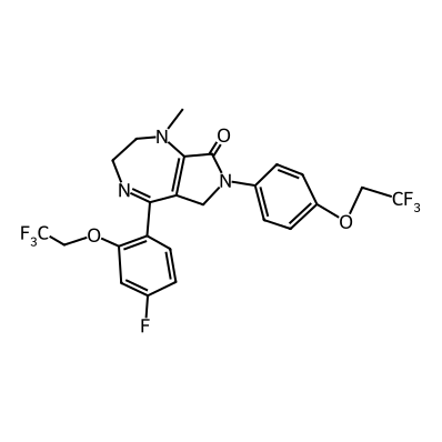 CN1CCN=C(c2ccc(F)cc2OCC(F)(F)F)C2=C1C(=O)N(c1ccc(OCC(F)(F)F)cc1)C2